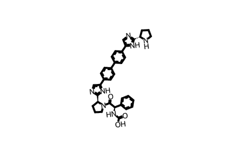 O=C(O)N[C@@H](C(=O)N1CCC[C@H]1c1ncc(-c2ccc(-c3ccc(-c4cnc([C@@H]5CCCN5)[nH]4)cc3)cc2)[nH]1)c1ccccc1